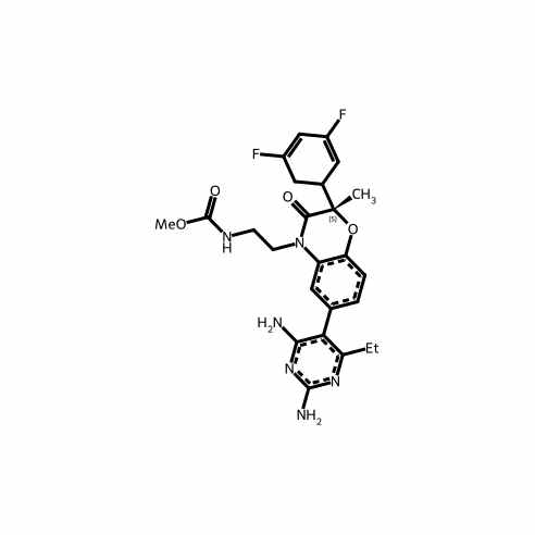 CCc1nc(N)nc(N)c1-c1ccc2c(c1)N(CCNC(=O)OC)C(=O)[C@](C)(C1C=C(F)C=C(F)C1)O2